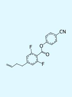 C=CCCc1cc(F)c(C(=O)Oc2ccc(C#N)cc2)c(F)c1